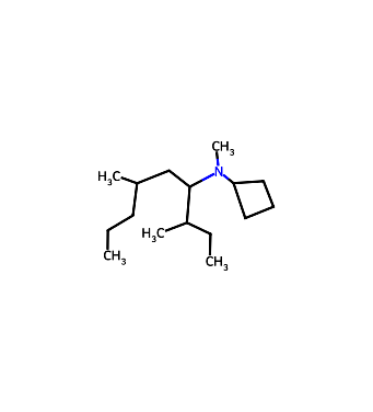 CCCC(C)CC(C(C)CC)N(C)C1CCC1